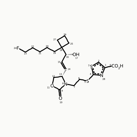 O=C(O)c1csc(SCCN2C(=O)OC[C@@H]2/C=C/[C@@H](O)C2(CCCCCF)CCC2)n1